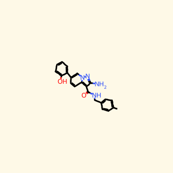 Cc1ccc(CNC(=O)c2c(N)nn3cc(-c4ccccc4O)ccc23)cc1